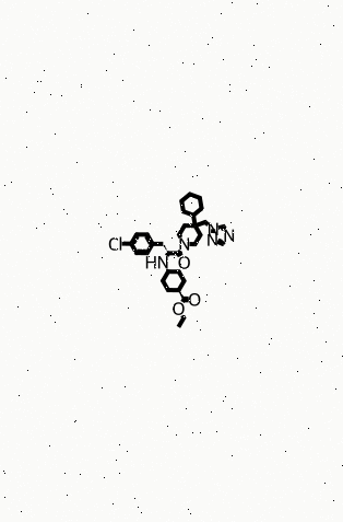 CCOC(=O)[C@H]1CC[C@H](N[C@H](Cc2ccc(Cl)cc2)C(=O)N2CCC(Cn3cncn3)(C3CCCCC3)CC2)CC1